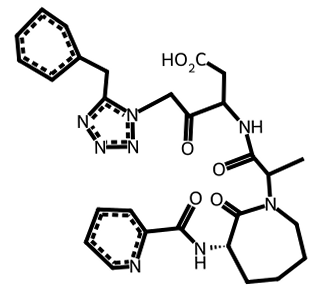 CC(C(=O)NC(CC(=O)O)C(=O)Cn1nnnc1Cc1ccccc1)N1CCCC[C@H](NC(=O)c2ccccn2)C1=O